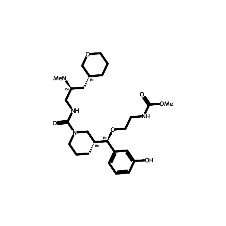 CN[C@H](CNC(=O)N1CCC[C@@H]([C@@H](OCCNC(=O)OC)c2cccc(O)c2)C1)C[C@H]1CCCOC1